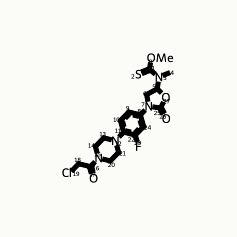 COC(=S)N(C)C1CN(c2ccc(N3CCN(C(=O)CCl)CC3)c(F)c2)C(=O)O1